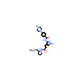 COCC1CCCN1NC(=O)c1cc2c(NC(=O)c3ccc(N4CCN(C)CC4)cc3)n[nH]c2s1